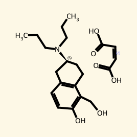 CCCN(CCC)[C@H]1CCc2c(ccc(O)c2CO)C1.O=C(O)/C=C\C(=O)O